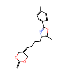 C=C1OCC(=CCCCc2nc(-c3ccc(C)cc3)oc2C)CO1